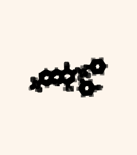 CS(=O)(=O)c1ccc2cc3c(nc2c1)C(C#N)=CC(OP(=O)(Oc1cccc(Br)c1)Sc1ccccc1)C3=O